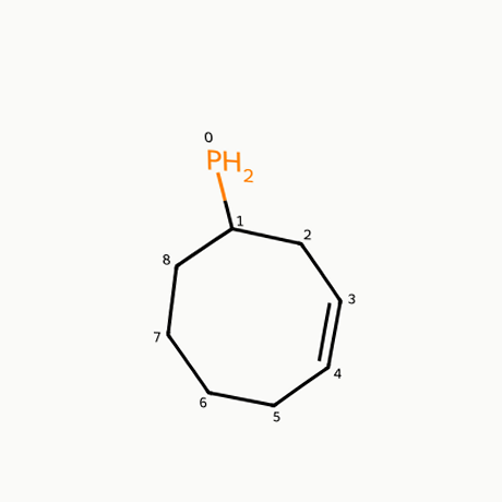 PC1CC=CCCCC1